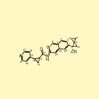 N#C[C@@]1(c2ccc3cnc(NC(=O)C4CC4c4ccncc4)cc3c2)CC12CC2